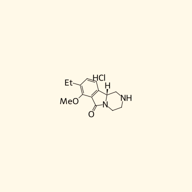 CCc1ccc2c(c1OC)C(=O)N1CCNC[C@@H]21.Cl